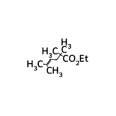 CCOC(=O)C(C)(C)CC=C(C)C